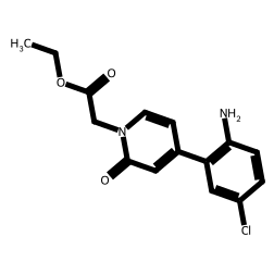 CCOC(=O)Cn1ccc(-c2cc(Cl)ccc2N)cc1=O